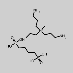 CCC[N+](C)(CCCN)CCCN.O=P(O)(O)CCCCP(=O)(O)O